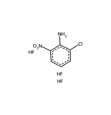 F.F.F.Nc1c(Cl)cccc1[N+](=O)[O-]